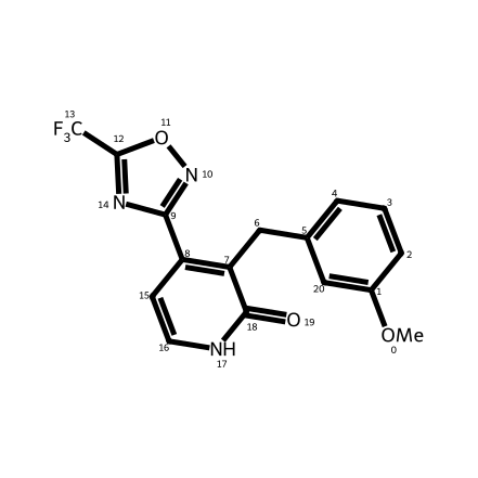 COc1cccc(Cc2c(-c3noc(C(F)(F)F)n3)cc[nH]c2=O)c1